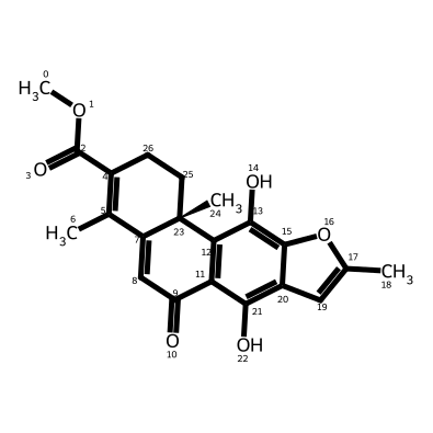 COC(=O)C1=C(C)C2=CC(=O)c3c(c(O)c4oc(C)cc4c3O)[C@@]2(C)CC1